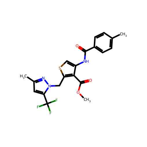 COC(=O)c1c(NC(=O)c2ccc(C)cc2)csc1Cn1nc(C)cc1C(F)(F)F